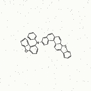 c1ccc(N(c2ccc3c(ccc4ccc5c(ccc6c7ccccc7sc65)c43)c2)c2cccc3oc4ccccc4c23)cc1